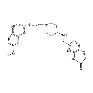 COc1ccc2ncc(SCCN3CCC(NCc4ccc5c(n4)NC(=O)CO5)CC3)nc2c1